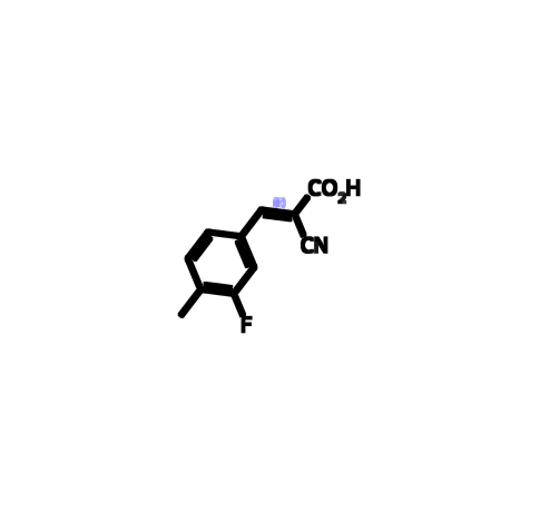 Cc1ccc(/C=C(\C#N)C(=O)O)cc1F